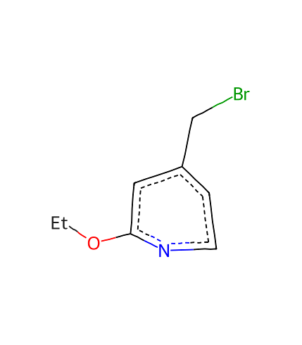 CCOc1cc(CBr)ccn1